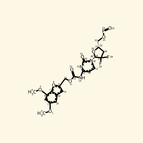 COc1cc(OC)c2oc(COC(=O)Nc3ccn([C@@H]4O[C@H](COP=O)CC4(F)F)c(=O)n3)cc2c1